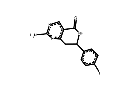 Nc1ncc2c(n1)CC(c1ccc(F)cc1)NC2=O